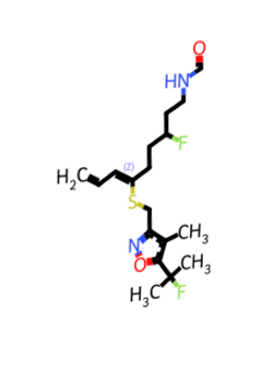 C=C/C=C(/CCC(F)CCNC=O)SCc1noc(C(C)(C)F)c1C